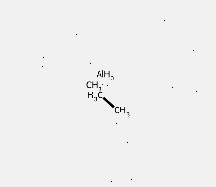 CC.[AlH3].[CH3]